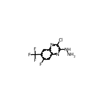 NNc1nc2cc(F)c(C(F)(F)F)cc2nc1Cl